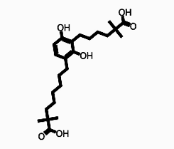 CC(C)(CCCCCCc1ccc(O)c(CCCCC(C)(C)C(=O)O)c1O)C(=O)O